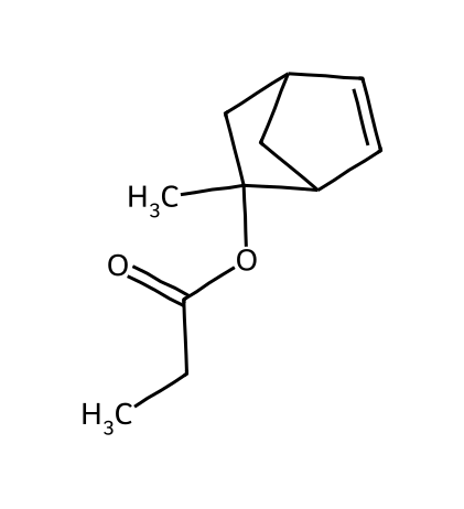 CCC(=O)OC1(C)CC2C=CC1C2